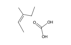 CC=C(C)CC.O=C(O)O